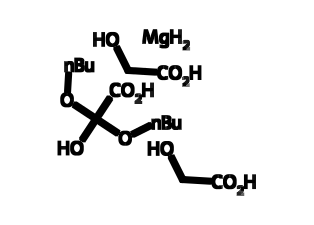 CCCCOC(O)(OCCCC)C(=O)O.O=C(O)CO.O=C(O)CO.[MgH2]